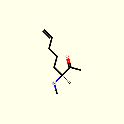 C=CCCC[C@](C)(NC)C(C)=O